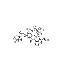 C=Nc1sc2c(F)ccc(-c3ncc4c(N(C)CC5(N(C)C)CCC5)nc(OCC5(CN6CCO[C@@H]7C[C@@H]76)CC5)nc4c3F)c2c1C#N